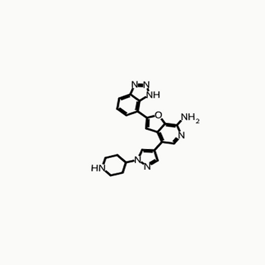 Nc1ncc(-c2cnn(C3CCNCC3)c2)c2cc(-c3cccc4nn[nH]c34)oc12